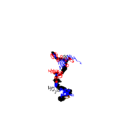 Cc1c(Nc2nc3ccccc3s2)nnc2c1CCCN2c1ccc(-c2cnn(CC34CC5(OCCN(C(=O)OCc6ccc(NC(=O)[C@H](CCCNC(N)=O)NC(=O)[C@@H](NC(=O)CCOCCN7C(=O)C=CC7=O)C(C)C)cc6)C(CO)CO)C[C@](C)(C3)C[C@](C)(C4)C5)c2C)c(C(=O)O)n1